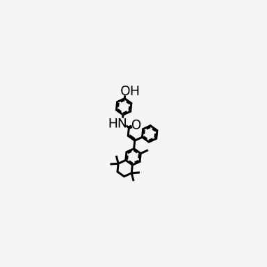 Cc1cc2c(cc1C(=CC(=O)Nc1ccc(O)cc1)c1ccccc1)C(C)(C)CCC2(C)C